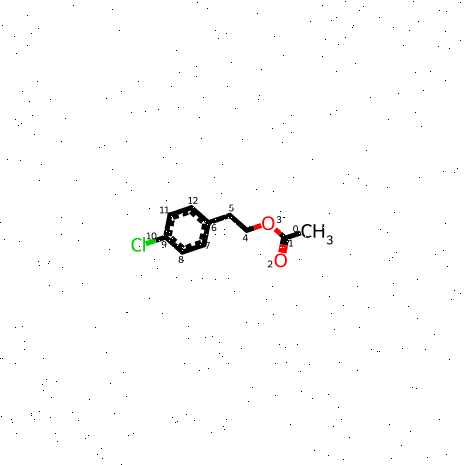 CC(=O)OCCc1ccc(Cl)cc1